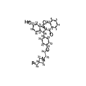 O=C(c1ccccc1Cl)c1sc2cc(O)ccc2c1-c1ccc(OCCN2CC(CF)C2)cc1